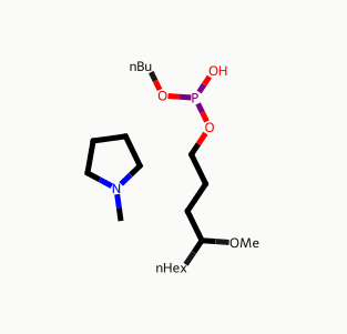 CCCCCCC(CCCOP(O)OCCCC)OC.CN1CCCC1